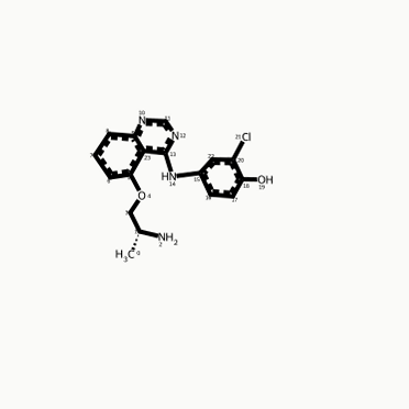 C[C@@H](N)COc1cccc2ncnc(Nc3ccc(O)c(Cl)c3)c12